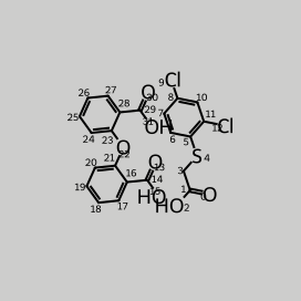 O=C(O)CSc1ccc(Cl)cc1Cl.O=C(O)c1ccccc1Oc1ccccc1C(=O)O